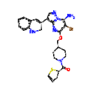 Nc1c(Br)c(OCC2CCN(C(=O)C3CC=CS3)CC2)nc2c(C3=Cc4ccccc4NC3)cnn12